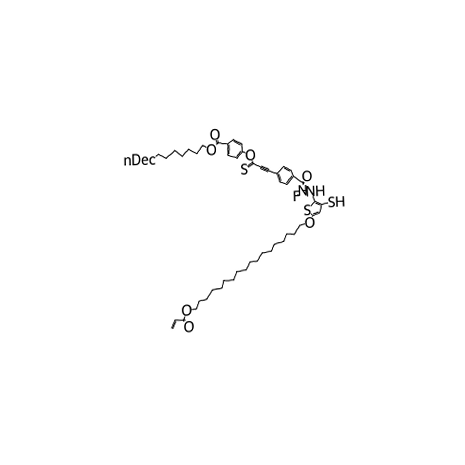 C=CC(=O)OCCCCCCCCCCCCCCCCCCOc1cc(S)c(NN(F)C(=O)c2ccc(C#CC(=S)Oc3ccc(C(=O)OCCCCCCCCCCCCCCCCC)cc3)cc2)s1